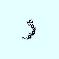 COCc1ccc(-c2cc3ccc(S(=O)(=O)N[C@H]4CC[C@H](C(=O)N5CCOC[C@@H]5C5CC5)CC4)cc3[nH]2)cc1